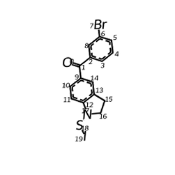 O=C(c1cccc(Br)c1)c1ccc2c(c1)CCN2SI